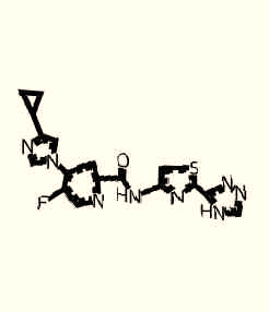 O=C(Nc1csc(-c2nnc[nH]2)n1)c1cc(-n2cnc(C3CC3)c2)c(F)cn1